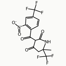 CC1(C(F)(F)F)CC(=O)C(C(=O)c2ccc(C(F)(F)F)cc2[N+](=O)[O-])C(=O)N1